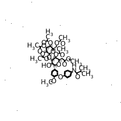 COC(=O)C[C@H]1O[C@H](c2ccc(OC)c(Oc3ccc(NC(=O)C(C)C)cc3)c2)[C@@H](O)[C@@H](O[C@H]2O[C@H](COC(C)=O)[C@@H](OC(C)=O)[C@H](OC(C)=O)[C@@H]2OC(C)=O)[C@@H]1OC(C)=O